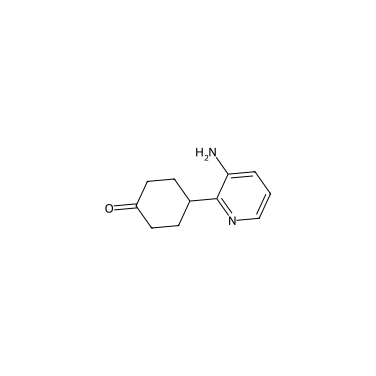 Nc1cccnc1C1CCC(=O)CC1